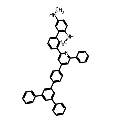 CNc1ccc(NC)c(-c2cccc(-c3cc(-c4ccc(-c5cc(-c6ccccc6)cc(-c6ccccc6)c5)cc4)cc(-c4ccccc4)n3)c2)c1